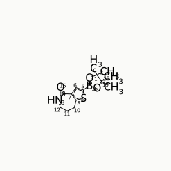 CC1(C)OB(c2cc3c(s2)CCCNC3=O)OC1(C)C